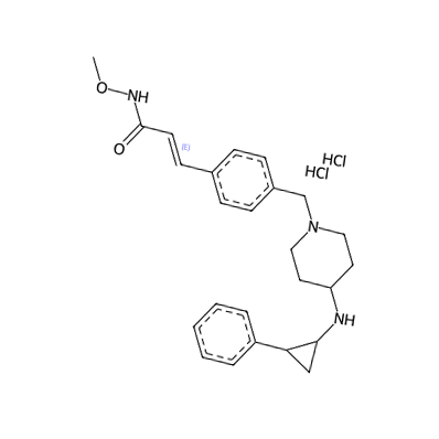 CONC(=O)/C=C/c1ccc(CN2CCC(NC3CC3c3ccccc3)CC2)cc1.Cl.Cl